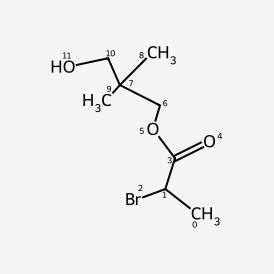 CC(Br)C(=O)OCC(C)(C)CO